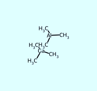 [CH3][Al]([CH3])[CH3].[CH3][Ga]([CH3])[CH3]